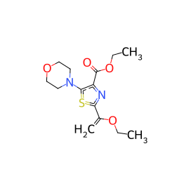 C=C(OCC)c1nc(C(=O)OCC)c(N2CCOCC2)s1